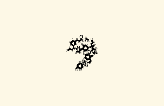 C=CCC(c1cccc(CCC(=O)OCC)c1)n1ccc(-c2cc(Oc3c(F)cc4c(ccn4S(=O)(=O)c4ccc(C)cc4)c3Cn3cc(C(C)(C)CC=C)cn3)ccc2F)n1